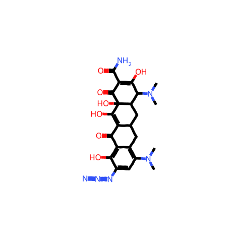 CN(C)c1cc(N=[N+]=[N-])c(O)c2c1CC1CC3C(N(C)C)C(O)=C(C(N)=O)C(=O)C3(O)C(O)=C1C2=O